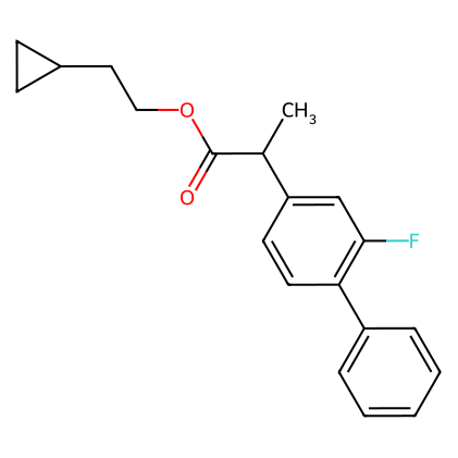 CC(C(=O)OCCC1CC1)c1ccc(-c2ccccc2)c(F)c1